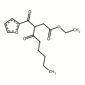 CCCCCC(=O)C(CC(=O)OCC)C(=O)c1ccco1